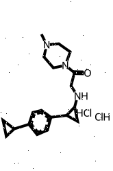 CN1CCN(C(=O)CNC2CC2c2ccc(C3CC3)cc2)CC1.Cl.Cl